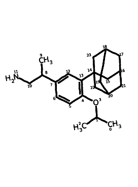 CC(C)Oc1ccc(C(C)CN)cc1C12CC3CC(CC(C3)C1)C2